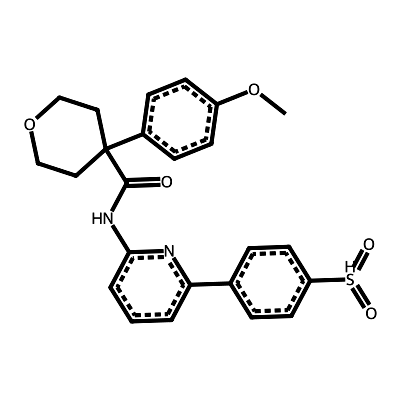 COc1ccc(C2(C(=O)Nc3cccc(-c4ccc([SH](=O)=O)cc4)n3)CCOCC2)cc1